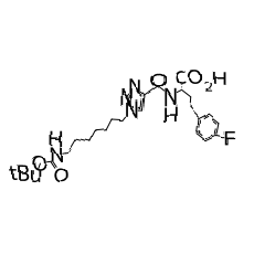 CC(C)(C)OC(=O)NCCCCCCCn1cc(C(=O)N[C@@H](CCc2ccc(F)cc2)C(=O)O)nn1